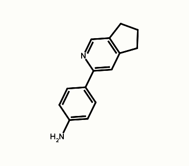 Nc1ccc(-c2cc3c(cn2)CCC3)cc1